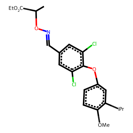 CCOC(=O)C(C)ON=Cc1cc(Cl)c(Oc2ccc(OC)c(C(C)C)c2)c(Cl)c1